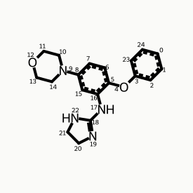 c1ccc(Oc2ccc(N3CCOCC3)cc2NC2=NCCN2)cc1